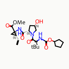 C=C[C@@H]1C[C@]1(NC(=O)[C@@H]1C[C@H](O)CN1C(=O)[C@@H](NC(=O)OC1CCCC1)C(C)(C)C)C(=O)OC